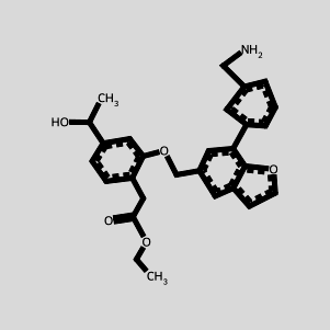 CCOC(=O)Cc1ccc(C(C)O)cc1OCc1cc(-c2cccc(CN)c2)c2occc2c1